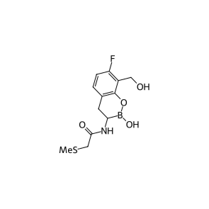 CSCC(=O)NC1Cc2ccc(F)c(CO)c2OB1O